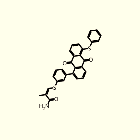 CC(=CSc1cccc(-c2cccc3c2C(=O)c2cccc(Sc4ccccc4)c2C3=O)c1)C(N)=O